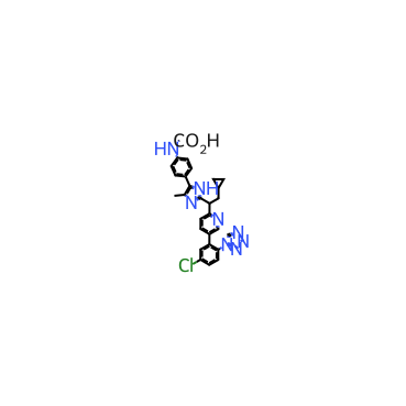 Cc1nc(C(CC2CC2)c2ccc(-c3cc(Cl)ccc3-n3cnnn3)cn2)[nH]c1-c1ccc(NC(=O)O)cc1